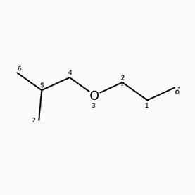 [CH2]C[CH]OCC(C)C